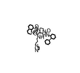 O=C(NCCCn1ccnc1)[C@@H]1CN(C(=O)Nc2ccccc2-c2ccccc2)CCN1S(=O)(=O)c1cccc2cccnc12